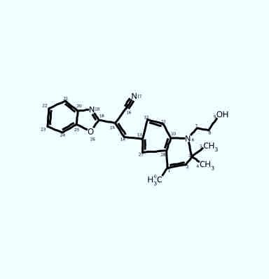 CC1=CC(C)(C)N(CCO)c2ccc(/C=C(\C#N)c3nc4ccccc4o3)cc21